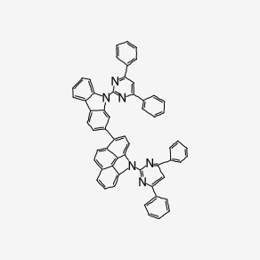 c1ccc(-c2cc(-c3ccccc3)nc(-n3c4ccccc4c4ccc(-c5ccc6c7c5ccc5cccc(c57)n6-c5nc(-c6ccccc6)cc(-c6ccccc6)n5)cc43)n2)cc1